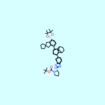 CC(C)(C)OC(=O)N1CCC[C@H]1c1nc2ccc(-c3ccc(-c4ccc(B5OC(C)(C)C(C)(C)O5)c5c4CC4(CCCC4)C5)c4c3C3CCC4CC3)cc2[nH]1